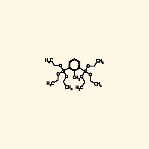 CCO[Si](OCC)(OCC)c1cccc([Si](OCC)(OCC)OCC)c1C